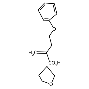 C1CCOC1.C=C(CCOc1ccccc1)C(=O)O